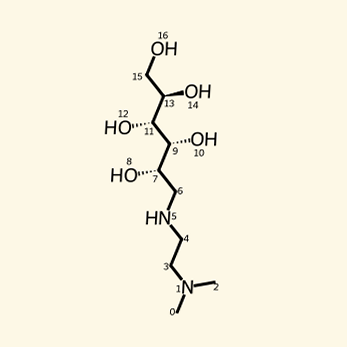 CN(C)CCNC[C@H](O)[C@@H](O)[C@H](O)[C@H](O)CO